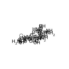 N=C(N)NCCCC(NC(=O)C(CC(=O)O)NC(=O)CCOCCOCCNC(=O)CCS(=O)(=O)c1c(F)c(F)c(S(N)(=O)=O)c(F)c1NC1CCCCCCC1)C(=O)NC(CC(=O)O)C(=O)NC[C@H](N)C(=O)N[C@@H](CC(=O)O)C(=O)NCC(=O)O